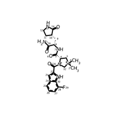 C[Si]1(C)C[C@@H](C(=O)N[C@@H](C[C@@H]2CCNC2=O)C(N)=O)N(C(=O)c2cc3cccc(F)c3[nH]2)C1